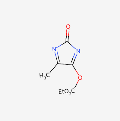 CCOC(=O)OC1=NC(=O)N=C1C